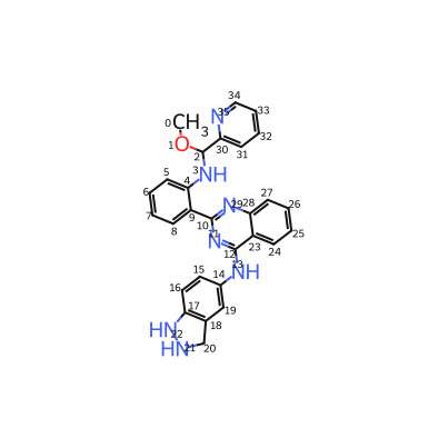 COC(Nc1ccccc1-c1nc(Nc2ccc3c(c2)CNN3)c2ccccc2n1)c1ccccn1